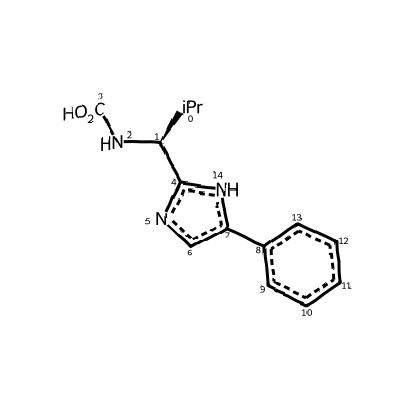 CC(C)[C@H](NC(=O)O)c1ncc(-c2ccccc2)[nH]1